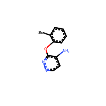 CC(C)(C)c1ccccc1Oc1nnccc1N